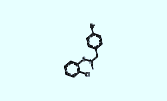 CN(Cc1ccc(Br)cc1)Sc1ccccc1Cl